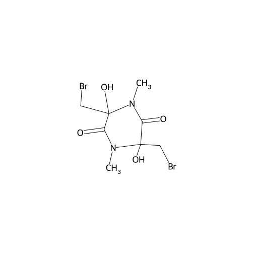 CN1C(=O)C(O)(CBr)N(C)C(=O)C1(O)CBr